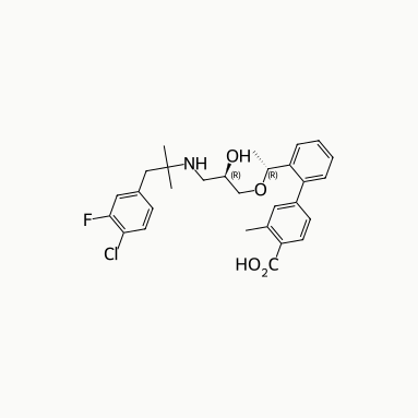 Cc1cc(-c2ccccc2[C@@H](C)OC[C@H](O)CNC(C)(C)Cc2ccc(Cl)c(F)c2)ccc1C(=O)O